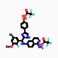 CCOc1cc(CC)cc(C(Nc2ccc3c(N)nccc3c2)c2nc(-c3ccc(O)cc3)c[nH]2)c1F.O=C(O)C(F)(F)F.O=C(O)C(F)(F)F